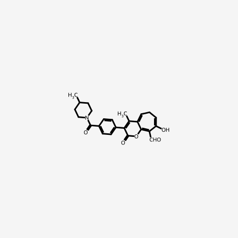 Cc1c(-c2ccc(C(=O)N3CCC(C)CC3)cc2)c(=O)oc2c1=CCC=C(O)C=2C=O